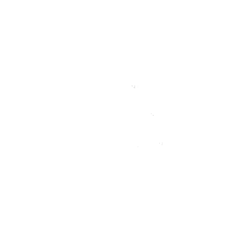 O=C(CN1CCC(NCC(O)C2COc3ccccc3O2)CC1)Nc1c(Cl)cccc1Cl